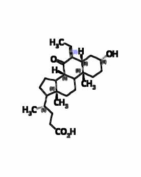 C/C=C1\C(=O)[C@H]2C3CCC([C@@H](C)CCC(=O)O)[C@@]3(C)CCC2[C@@]2(C)CC[C@@H](O)C[C@@H]12